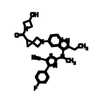 CCc1nn2ccc(N3CC4(CC4C(=O)N4CC(O)C4)C3)cc2c1N(C)c1nc(-c2ccc(F)cc2)c(C#N)s1